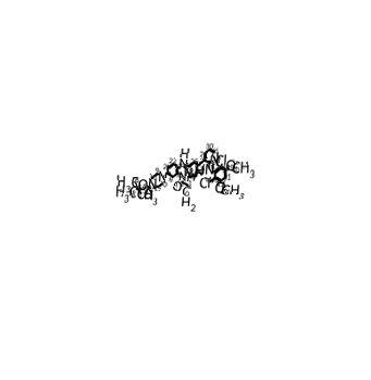 C=CC(=O)Nc1cc(N2CCN(C(=O)OC(C)(C)C)CC2)ccc1Nc1cc(-c2cccnc2Nc2c(Cl)c(OC)cc(OC)c2Cl)ncn1